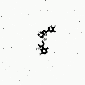 Cc1cc(-c2cc3ncnc(NCCc4c(C)[nH]c5c(F)ccc(C)c45)c3s2)cnc1F